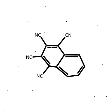 N#Cc1c(C#N)c(C#N)c2ccccc2c1C#N